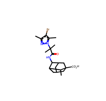 Cc1nn(C(C)(C)C(=O)NC2C3CC4CC2C(C)C(C(=O)O)(C4)C3)c(C)c1Br